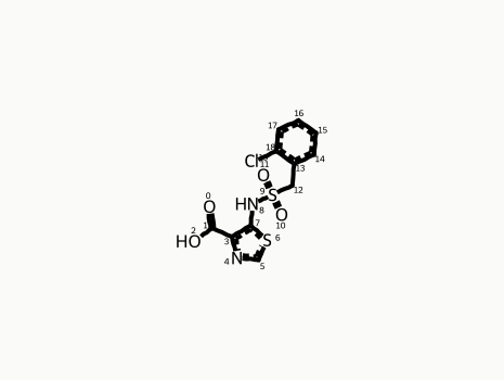 O=C(O)c1ncsc1NS(=O)(=O)Cc1ccccc1Cl